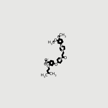 COc1ccc(N2CCN(CCC(=O)N3CCC(Oc4ccc([N+](=O)[O-])c(OCCC(C)C)c4)CC3)CC2)cc1OC